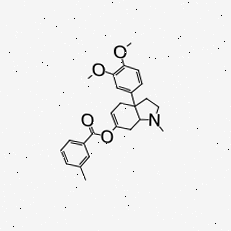 COc1ccc(C23CC=C(OC(=O)c4cccc(C)c4)CC2N(C)CC3)cc1OC